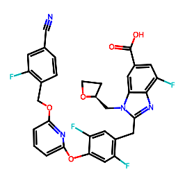 N#Cc1ccc(COc2cccc(Oc3cc(F)c(Cc4nc5c(F)cc(C(=O)O)cc5n4C[C@@H]4CCO4)cc3F)n2)c(F)c1